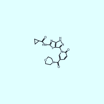 O=C(Nc1nc2[nH]nc(-n3cc(C(=O)N4CCOCC4)ccc3=O)c2s1)C1CC1